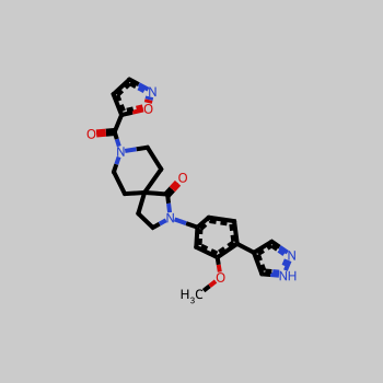 COc1cc(N2CCC3(CCN(C(=O)c4ccno4)CC3)C2=O)ccc1-c1cn[nH]c1